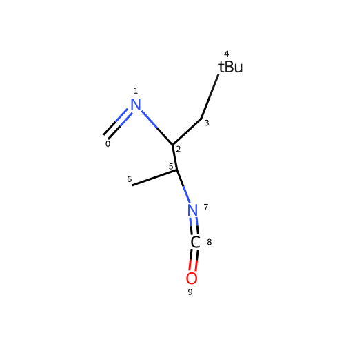 C=NC(CC(C)(C)C)C(C)N=C=O